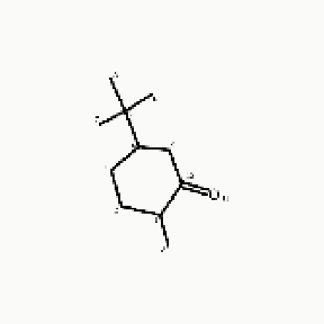 CC1CCC(C(C)(C)C)CC1=O